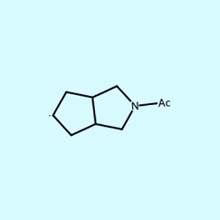 CC(=O)N1CC2C[CH]CC2C1